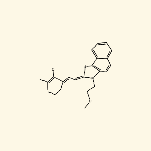 COCCN1/C(=C/C=C2\CCCC(C)=C2Cl)Sc2c1ccc1ccccc21